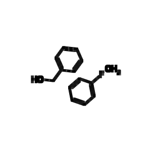 Fc1ccccc1.O.OCc1ccccc1